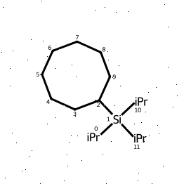 CC(C)[Si]([C]1CCCCCCC1)(C(C)C)C(C)C